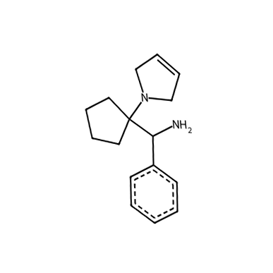 NC(c1ccccc1)C1(N2CC=CC2)CCCC1